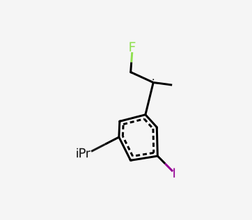 C[C](CF)c1cc(I)cc(C(C)C)c1